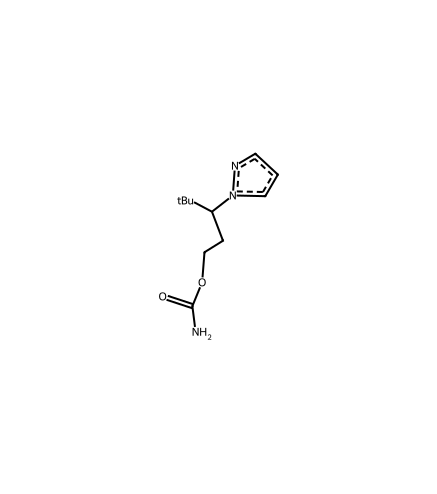 CC(C)(C)C(CCOC(N)=O)n1cccn1